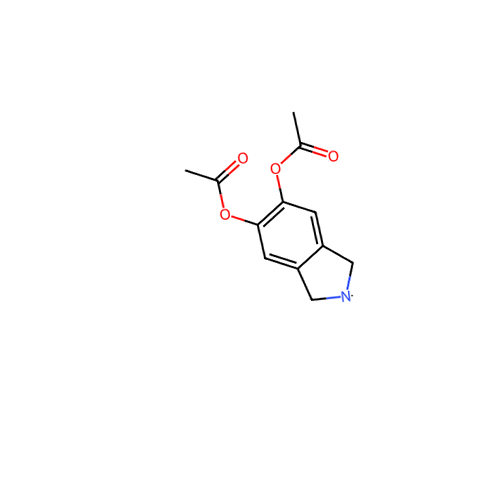 CC(=O)Oc1cc2c(cc1OC(C)=O)C[N]C2